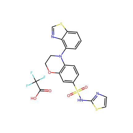 O=C(O)C(F)(F)F.O=S(=O)(Nc1nccs1)c1ccc2c(c1)OCCN2c1cccc2scnc12